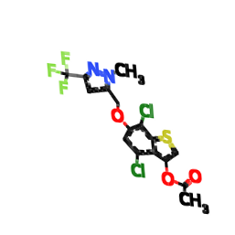 CC(=O)Oc1csc2c(Cl)c(OCc3cc(C(F)(F)F)nn3C)cc(Cl)c12